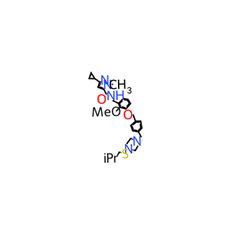 COc1c(CNC(=O)c2cc(C3CC3)nn2C)cccc1OCc1ccc(CN2CCN(SCC(C)C)CC2)cc1